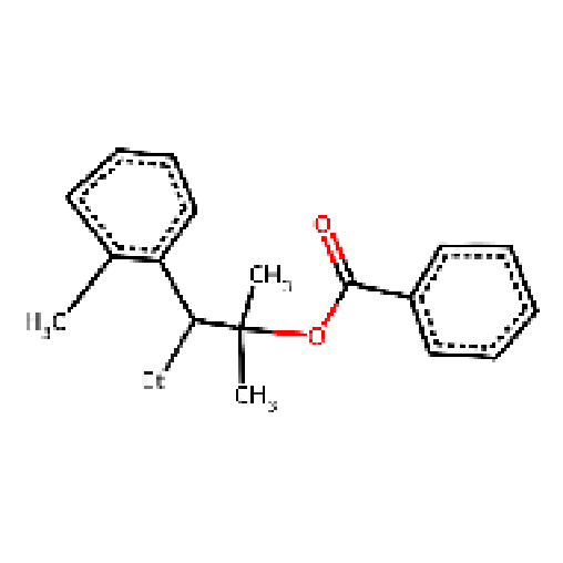 CCC(c1ccccc1C)C(C)(C)OC(=O)c1ccccc1